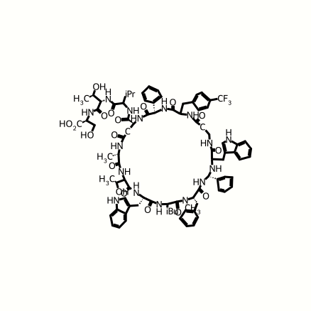 CCC(C)C1NC(=O)[C@H](Cc2c[nH]c3ccccc23)NC(=O)C([C@@H](C)O)NC(=O)[C@H](C)NC(=O)C[C@@H](C(=O)NC(C(=O)N[C@H](C(=O)N[C@@H](CO)C(=O)O)[C@@H](C)O)C(C)C)NC(=O)[C@H](c2ccccc2)NC(=O)C(Cc2ccc(C(F)(F)F)cc2)NC(=O)CCNC(=O)C(Cc2c[nH]c3ccccc23)N[C@H](c2ccccc2)NC(=O)[C@H](Cc2ccccc2)N(C)C1=O